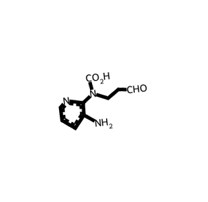 Nc1cccnc1N(CCC=O)C(=O)O